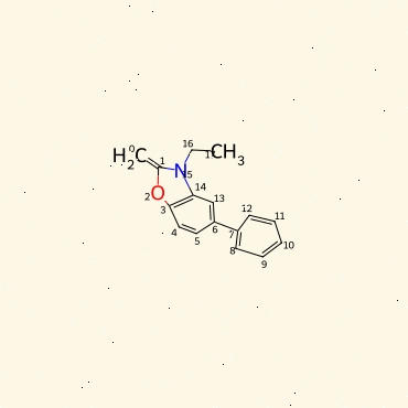 C=C1Oc2ccc(-c3ccccc3)cc2N1CC